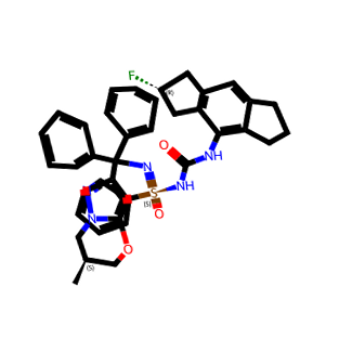 C[C@@H]1COc2c([S@@](=O)(=NC(c3ccccc3)(c3ccccc3)c3ccccc3)NC(=O)Nc3c4c(cc5c3C[C@H](F)C5)CCC4)cnn2C1